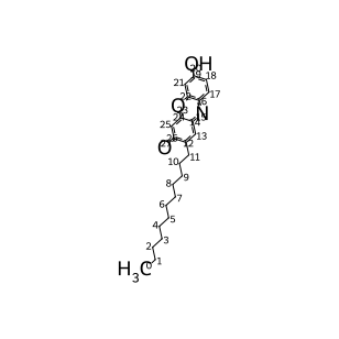 CCCCCCCCCCCCc1cc2nc3ccc(O)cc3oc-2cc1=O